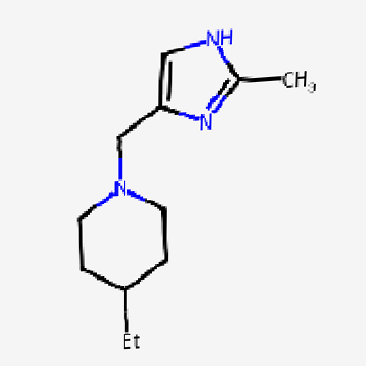 CCC1CCN(Cc2c[nH]c(C)n2)CC1